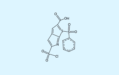 O=C(O)C1=S(S(=O)(=O)c2ccccc2)C2=NC(S(=O)(=O)Cl)=CC2=C1